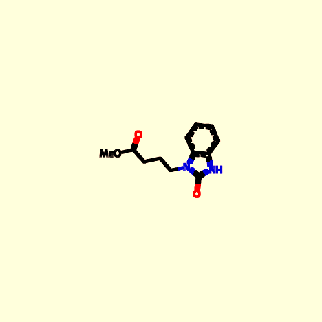 COC(=O)CCCn1c(=O)[nH]c2ccccc21